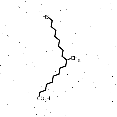 C[C@H](CCCCCCCCS)CCCCCCCCC(=O)O